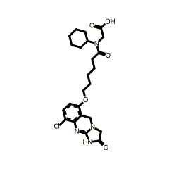 O=C(O)CN(C(=O)CCCCCOc1ccc(Cl)c2c1CN1CC(=O)NC1=N2)C1CCCCC1